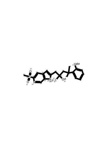 CSc1ccccc1C(C)(C)CC(O)(Cc1cc2cc(S(C)(=O)=O)ncc2[nH]1)C(F)(F)F